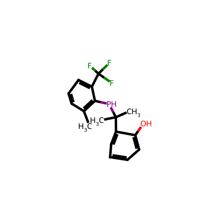 Cc1cccc(C(F)(F)F)c1PC(C)(C)c1ccccc1O